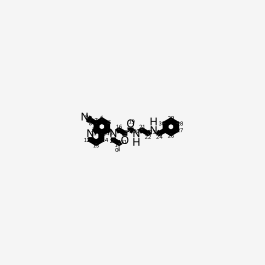 C[C@@H]1CN(c2ccc(C#N)c3ncccc23)C[C@H](C(=O)NCCNCc2ccccc2)O1